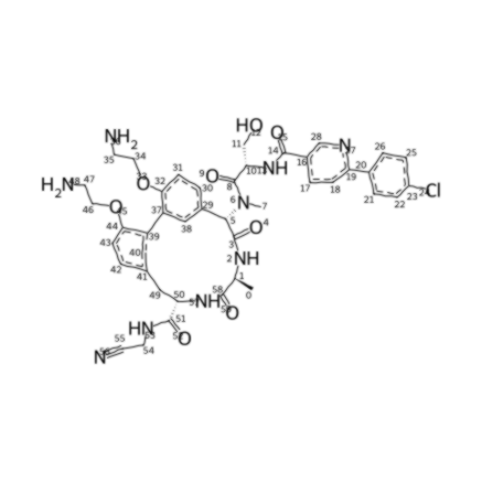 C[C@@H]1NC(=O)[C@@H](N(C)C(=O)[C@H](CO)NC(=O)c2ccc(-c3ccc(Cl)cc3)nc2)c2ccc(OCCN)c(c2)-c2cc(ccc2OCCN)C[C@@H](C(=O)NCC#N)NC1=O